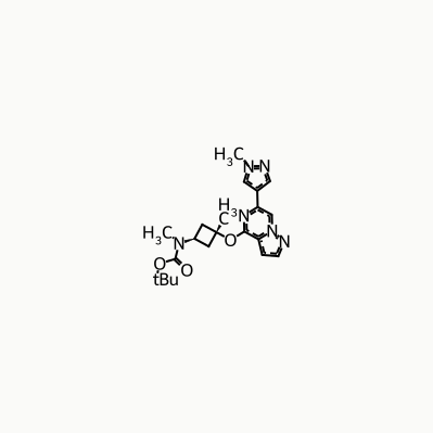 Cn1cc(-c2cn3nccc3c(O[C@]3(C)C[C@@H](N(C)C(=O)OC(C)(C)C)C3)n2)cn1